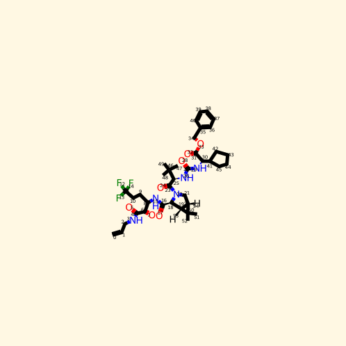 C=CCNC(=O)C(=O)C(CCC(F)(F)F)NC(=O)[C@@H]1[C@@H]2[C@H](CN1C(=O)[C@@H](NC(=O)N[C@H](C(=O)OCc1ccccc1)C1CCCC1)C(C)(C)C)C2(C)C